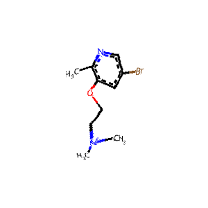 Cc1ncc(Br)cc1OCCN(C)C